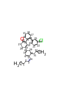 C=CC/C=C\C1=CC=C(C2=Cc3c(oc4cccc(-c5cccc(Cl)c5)c34)CC2)CC1CC=C